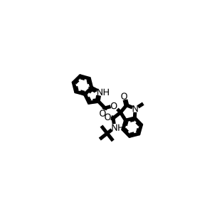 CN1C(=O)C(OC(=O)c2cc3ccccc3[nH]2)(C(=O)NC(C)(C)C)c2ccccc21